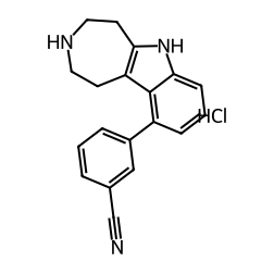 Cl.N#Cc1cccc(-c2cccc3[nH]c4c(c23)CCNCC4)c1